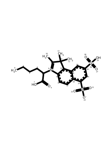 CCCCC(C(=O)O)[N+]1=C(C)C(C)(C)c2c1ccc1c(S(=O)(=O)[O-])cc(S(=O)(=O)O)cc21